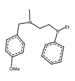 CCN(CCN(C)Cc1ccc(OC)cc1)c1ccccc1